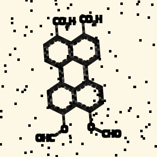 O=COc1ccc2c3ccc(C(=O)O)c4c(C(=O)O)ccc(c5ccc(OC=O)c1c25)c43